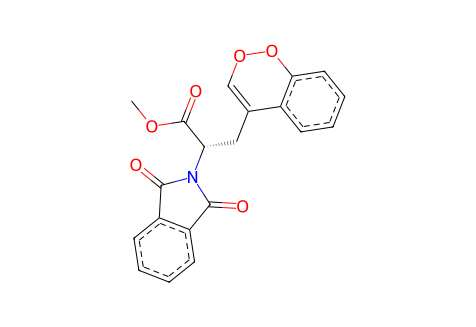 COC(=O)[C@H](CC1=COOc2ccccc21)N1C(=O)c2ccccc2C1=O